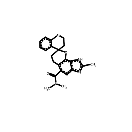 Cc1nc2cc(C(=O)N(C)C)c3c(c2[nH]1)OC1(CCOc2ccccc21)CC3